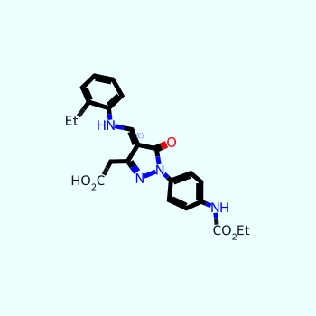 CCOC(=O)Nc1ccc(N2N=C(CC(=O)O)/C(=C\Nc3ccccc3CC)C2=O)cc1